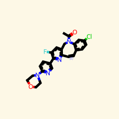 CC(=O)N1Cc2cc(F)c(-c3ccc(N4CCOCC4)nc3)nc2/C=C\c2ccc(Cl)cc21